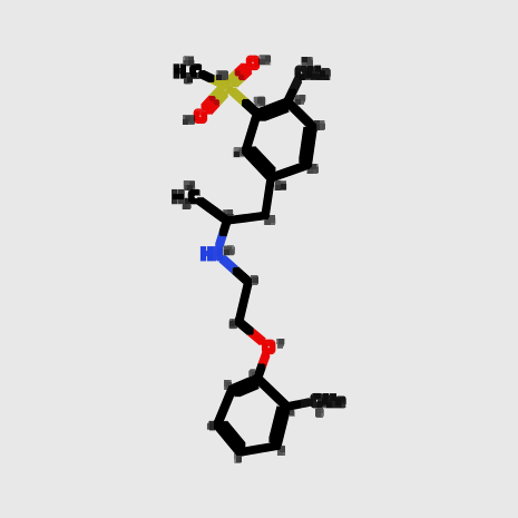 COc1ccccc1OCCNC(C)Cc1ccc(OC)c(S(C)(=O)=O)c1